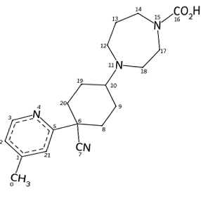 Cc1ccnc(C2(C#N)CCC(N3CCCN(C(=O)O)CC3)CC2)c1